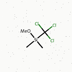 CO[Si](C)(C)C(Cl)(Cl)Cl